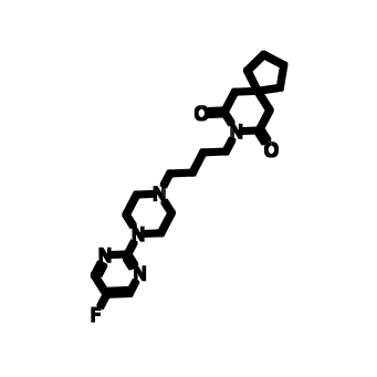 O=C1CC2(CCCC2)CC(=O)N1CCCCN1CCN(c2ncc(F)cn2)CC1